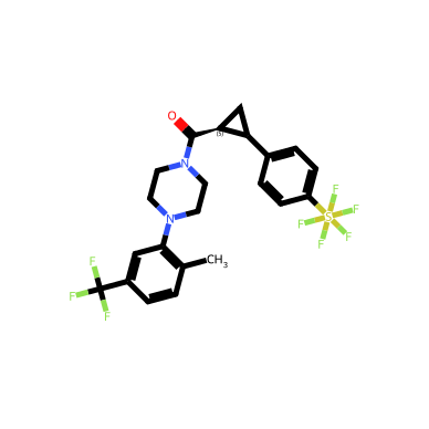 Cc1ccc(C(F)(F)F)cc1N1CCN(C(=O)[C@H]2CC2c2ccc(S(F)(F)(F)(F)F)cc2)CC1